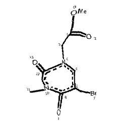 COC(=O)Cn1cc(Br)c(=O)n(C)c1=O